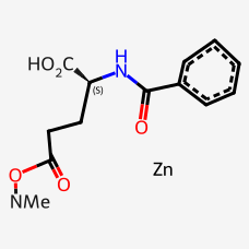 CNOC(=O)CC[C@H](NC(=O)c1ccccc1)C(=O)O.[Zn]